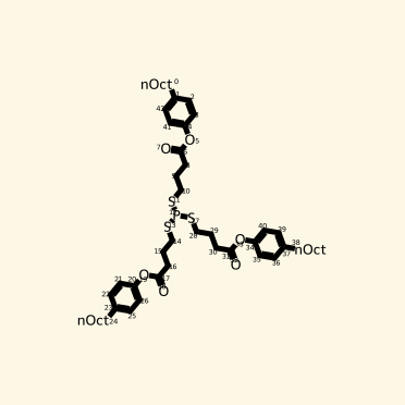 CCCCCCCCc1ccc(OC(=O)CCCSP(SCCCC(=O)Oc2ccc(CCCCCCCC)cc2)SCCCC(=O)Oc2ccc(CCCCCCCC)cc2)cc1